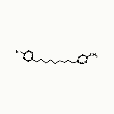 Cc1ccc(CCCCCCCCCc2ccc(Br)cc2)cc1